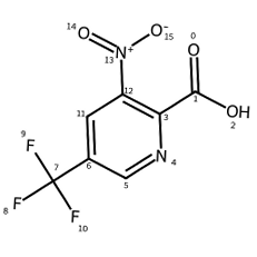 O=C(O)c1ncc(C(F)(F)F)cc1[N+](=O)[O-]